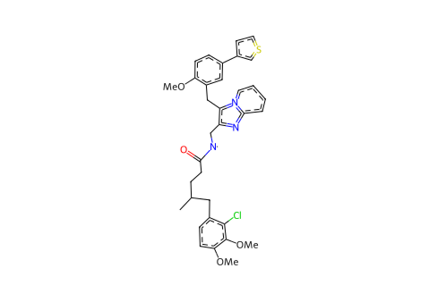 COc1ccc(-c2ccsc2)cc1Cc1c(C[N]C(=O)CCC(C)Cc2ccc(OC)c(OC)c2Cl)nc2ccccn12